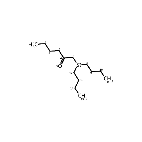 CCCCC(=O)C[S+](CCCC)CCCC